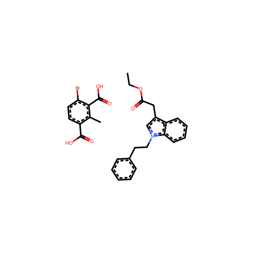 CCOC(=O)Cc1cn(CCc2ccccc2)c2ccccc12.Cc1c(C(=O)O)ccc(Br)c1C(=O)O